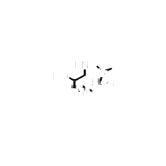 CC(O)CN.CN(C)C.O=CO.O=CO